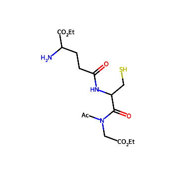 CCOC(=O)CN(C(C)=O)C(=O)C(CS)NC(=O)CCC(N)C(=O)OCC